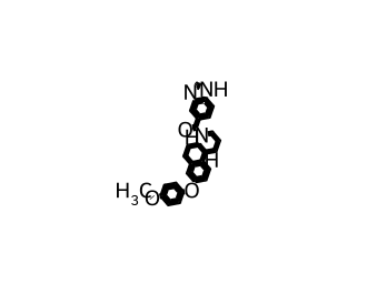 COc1ccc(Oc2ccc3c(c2)CC[C@H]2[C@@H]3CCCN2C(=O)c2ccc3[nH]cnc3c2)cc1